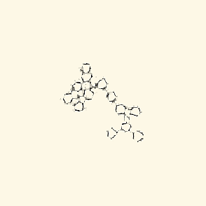 c1ccc(-c2cc(-c3ccccc3)cc(-n3c4ccccc4c4cc(-c5ccc(-c6cccc(N(c7ccc8c(c7)C7(c9ccccc9-c9ccccc97)c7ccccc7-8)c7ccc8ccccc8c7)c6)cc5)ccc43)c2)cc1